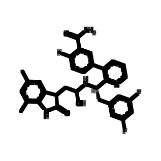 Cc1cc(C)c2c(c1)C(CC(O)N[C@@H](Cc1cc(F)cc(F)c1)c1ncccc1-c1ccc(F)c(C(N)=O)c1)C(=O)N2